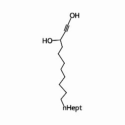 CCCCCCCCCCCCCCCC(O)C#CO